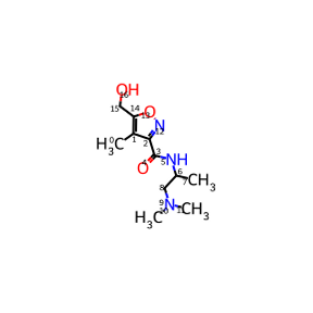 Cc1c(C(=O)NC(C)CN(C)C)noc1CO